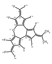 CC(C)=c1c(F)c2c3c(F)c(=C(F)F)c(F)c3oc3c(F)c(=C(F)F)c(F)c3c2c1F